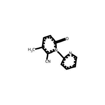 Cc1ccc(=O)n(-c2ccccn2)c1C#N